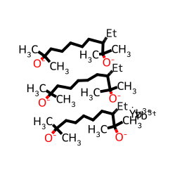 CCC(CCCCCC(C)(C)[O-])C(C)(C)[O-].CCC(CCCCCC(C)(C)[O-])C(C)(C)[O-].CCC(CCCCCC(C)(C)[O-])C(C)(C)[O-].[Yb+3].[Yb+3]